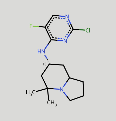 CC1(C)C[C@H](Nc2nc(Cl)ncc2F)CC2CCCN21